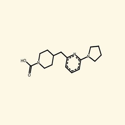 O=C(O)N1CCC(Cc2cccc(N3CCCC3)n2)CC1